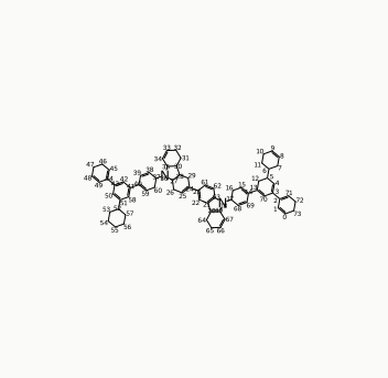 C1=CC(C2=CC(C3CC=CCC3)CC(C3=CCC(n4c5c(c6cc(C7=CCC8C(C7)C7CCC=CC7N8C7C=CC(c8cc(C9=CCCC=C9)cc(C9CCCCC9)c8)=CC7)ccc64)CCC=C5)C=C3)=C2)=CCC1